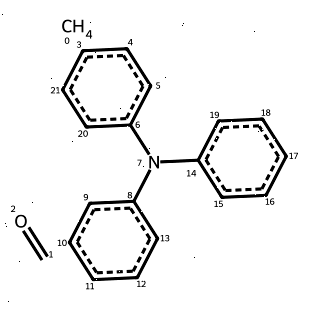 C.C=O.c1ccc(N(c2ccccc2)c2ccccc2)cc1